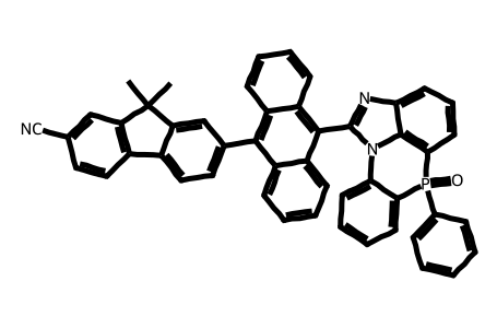 CC1(C)c2cc(C#N)ccc2-c2ccc(-c3c4ccccc4c(-c4nc5cccc6c5n4-c4ccccc4P6(=O)c4ccccc4)c4ccccc34)cc21